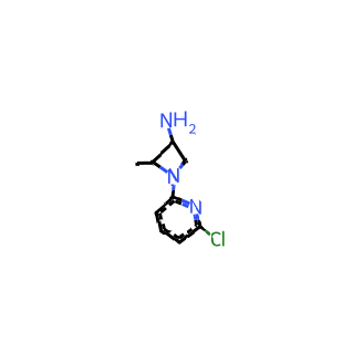 CC1C(N)CN1c1cccc(Cl)n1